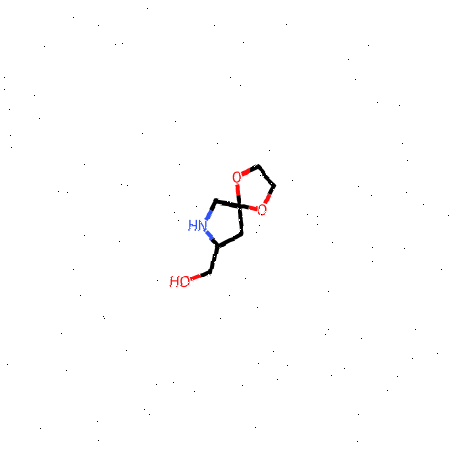 OCC1CC2(CN1)OCCO2